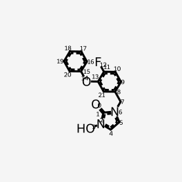 O=c1n(O)ccn1Cc1ccc(F)c(Oc2ccccc2)c1